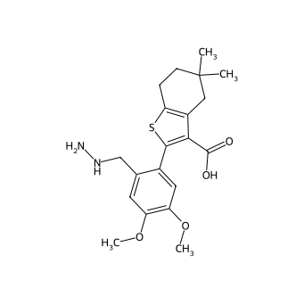 COc1cc(CNN)c(-c2sc3c(c2C(=O)O)CC(C)(C)CC3)cc1OC